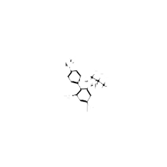 O=[N+]([O-])c1ccc(-c2c(Br)[c]c(Br)cc2S(=O)(=O)C(F)(F)C(F)(F)C(F)(F)F)cc1